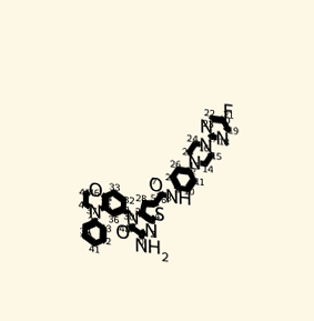 Nc1nc2sc(C(=O)Nc3ccc(N4CCN(c5ncc(F)cn5)CC4)cc3)cc2n(-c2ccc3c(c2)N(c2ccccc2)CCO3)c1=O